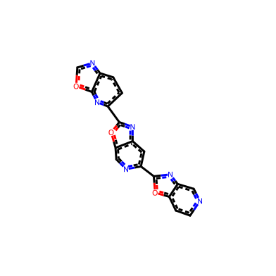 c1cc2oc(-c3cc4nc(-c5ccc6ncoc6n5)oc4cn3)nc2cn1